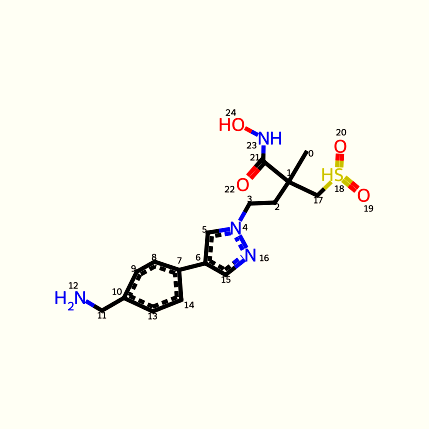 CC(CCn1cc(-c2ccc(CN)cc2)cn1)(C[SH](=O)=O)C(=O)NO